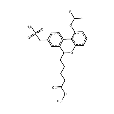 COC(=O)CCCCC1Oc2cccc(OC(F)F)c2-c2ccc(CS(N)(=O)=O)cc21